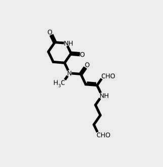 CN(C(=O)/C=C(\C=O)NCCCC=O)C1CCC(=O)NC1=O